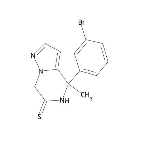 CC1(c2cccc(Br)c2)NC(=S)Cn2nccc21